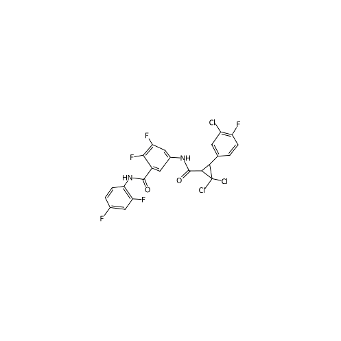 O=C(Nc1ccc(F)cc1F)c1cc(NC(=O)C2C(c3ccc(F)c(Cl)c3)C2(Cl)Cl)cc(F)c1F